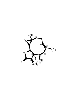 C=C1C(=O)OC2C3O[C@]3(C)CC/C=C(\C)CC(O)[C@@H]12